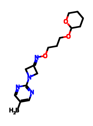 Bc1cnc(N2CC(=NOCCCOC3CCCCO3)C2)nc1